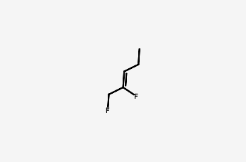 CCC=C(F)CF